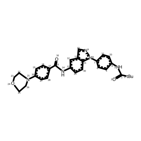 CC(C)(C)C(=O)Nc1ccc(-n2ncc3cc(NC(=O)c4ccc(N5CCOCC5)cc4)ccc32)cc1